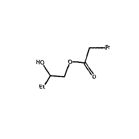 CCC(O)COC(=O)CC(C)C